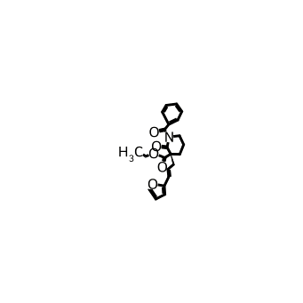 CCOC(=O)[C@@]1(CC=Cc2ccco2)CCCN(C(=O)c2ccccc2)C1=O